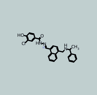 CC(NCc1ccc(/C=N/NC(=O)c2ccc(O)c(Cl)c2)c2ccccc12)c1ccccc1